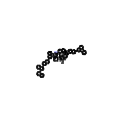 C=CC1=C(/C=C(\C)c2ccc3ccc4c(c3c2)c2c3ccccc3ccc2n4-c2ccc3cc(-c4cc5c6c(cccc6c4)-c4ccccc4-5)ccc3c2)c2cccc3cc(-c4ccc5cc(-c6ccc(-c7cccc8ccccc78)c7ccccc67)ccc5c4)cc1c23